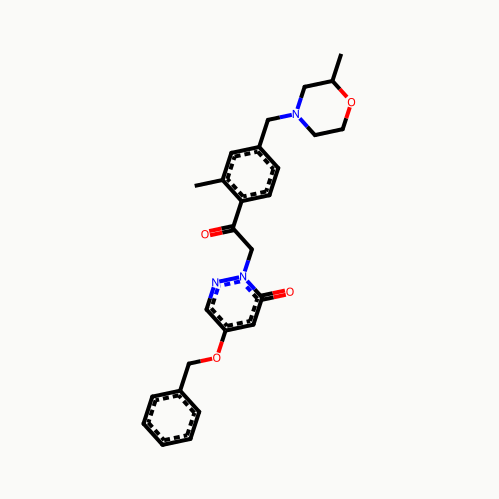 Cc1cc(CN2CCOC(C)C2)ccc1C(=O)Cn1ncc(OCc2ccccc2)cc1=O